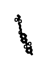 C=CC(=O)OCCCCOc1ccc2cc(C(=O)Oc3ccc(C)cc3C)ccc2c1